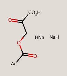 CC(=O)C(=O)OCC(=O)C(=O)O.[NaH].[NaH]